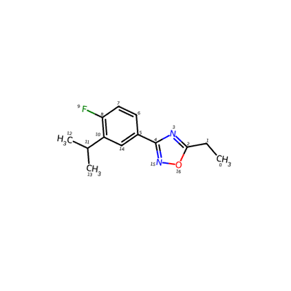 CCc1nc(-c2ccc(F)c(C(C)C)c2)no1